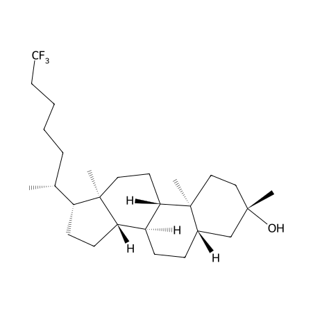 C[C@H](CCCCC(F)(F)F)[C@H]1CC[C@H]2[C@@H]3CC[C@H]4C[C@@](C)(O)CC[C@]4(C)[C@H]3CC[C@]12C